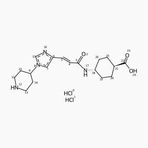 Cl.Cl.O=C(C=Cc1cn(C2CCNCC2)cn1)N[C@H]1CC[C@H](C(=O)O)CC1